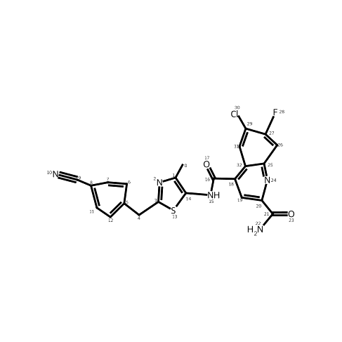 Cc1nc(Cc2ccc(C#N)cc2)sc1NC(=O)c1cc(C(N)=O)nc2cc(F)c(Cl)cc12